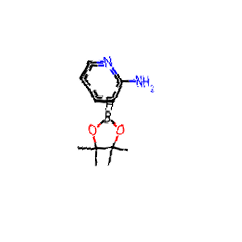 CC1(C)OBOC1(C)C.Nc1ccccn1